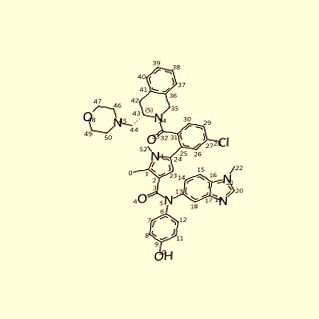 Cc1c(C(=O)N(c2ccc(O)cc2)c2ccc3c(c2)ncn3C)cc(-c2cc(Cl)ccc2C(=O)N2Cc3ccccc3C[C@H]2CN2CCOCC2)n1C